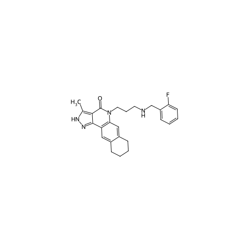 Cc1[nH]nc2c1c(=O)n(CCCNCc1ccccc1F)c1cc3c(cc21)CCCC3